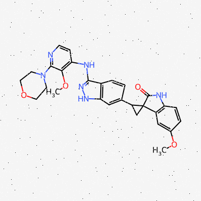 COc1ccc2c(c1)C1(CC1c1ccc3c(Nc4ccnc(N5CCOCC5)c4OC)n[nH]c3c1)C(=O)N2